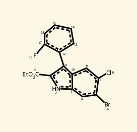 CCOC(=O)c1[nH]c2cc(Br)c(Cl)cc2c1-c1ccccc1F